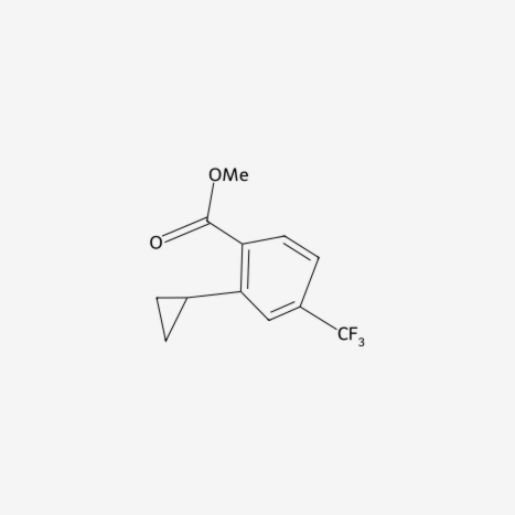 COC(=O)c1ccc(C(F)(F)F)cc1C1CC1